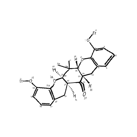 CCOc1cccc2c1O[C@@H]1[C@H](C2)C(=O)[C@H]2Cc3cccc(OCC)c3O[C@H]2C1(C)C